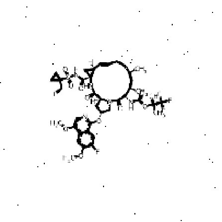 COc1cc2c(OC)cnc(O[C@@H]3C[C@H]4C(=O)N[C@]5(C(=O)NS(=O)(=O)C6(CF)CC6)C[C@H]5/C=C/CC[C@@H](C)C[C@@H](C)[C@H](NC(=O)OC(C)(C)C(F)(F)F)C(=O)N4C3)c2cc1F